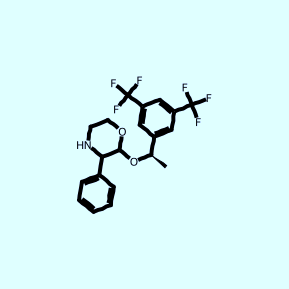 C[C@@H](OC1OCCNC1c1ccccc1)c1cc(C(F)(F)F)cc(C(F)(F)F)c1